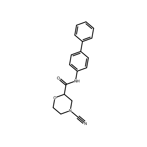 N#CN1CCOC(C(=O)Nc2ccc(-c3ccccc3)cc2)C1